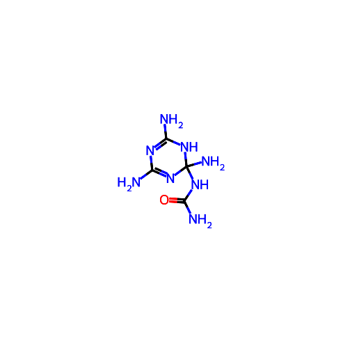 NC(=O)NC1(N)N=C(N)N=C(N)N1